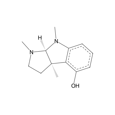 CN1CC[C@]2(C)c3c(O)cccc3N(C)[C@H]12